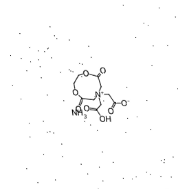 N.O=C([O-])C[N+]1(CC(=O)O)CC(=O)OCCOC(=O)C1